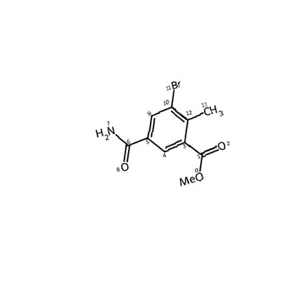 COC(=O)c1cc(C(N)=O)cc(Br)c1C